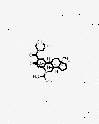 CCN(CC)C(=O)C1C[C@@]2(C)C(=CC1=O)N(C(C)C)C[C@@H]1[C@H]2CC[C@]2(C)CCC[C@@H]12